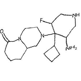 NC1CNCC(F)C1(C1CCC1)N1CCN2C(=O)CCCC2C1